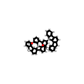 N#Cc1cc(-c2cccc(C#N)c2-n2c3ccccc3c3ccc4oc5ccccc5c4c32)cc(-n2c3ccccc3c3ccc4c(c32)-c2ccccc2C4)c1